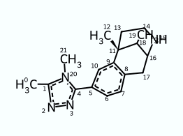 Cc1nnc(-c2ccc3c(c2)[C@]2(C)CCNC(C3)C2C)n1C